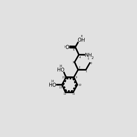 CCC(CC(N)C(=O)O)c1cccc(O)c1O